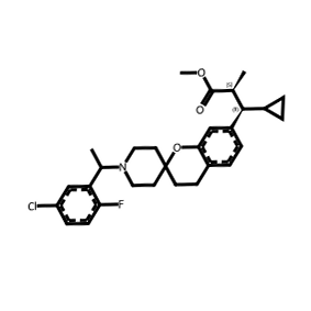 COC(=O)[C@@H](C)[C@H](c1ccc2c(c1)OC1(CC2)CCN(C(C)c2cc(Cl)ccc2F)CC1)C1CC1